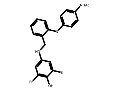 CC(=O)Nc1ccc(Sc2ccccc2CNc2cc(Br)c(O)c(Br)c2)cc1